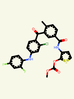 COC(=O)Oc1sccc1NC(=O)c1ccc(C)c(C(=O)c2ccc(Nc3ccc(F)cc3F)cc2Cl)c1